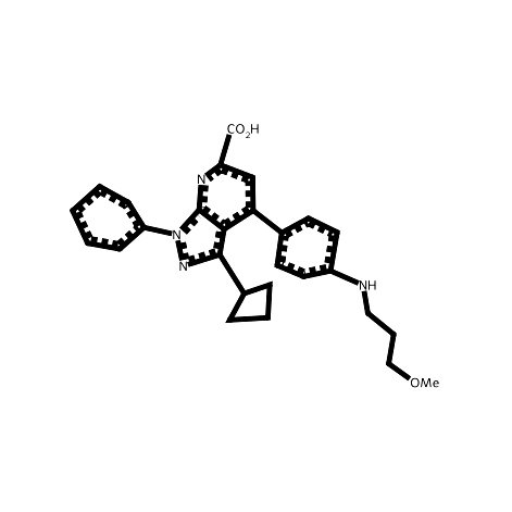 COCCCNc1ccc(-c2cc(C(=O)O)nc3c2c(C2CCC2)nn3-c2ccccc2)cc1